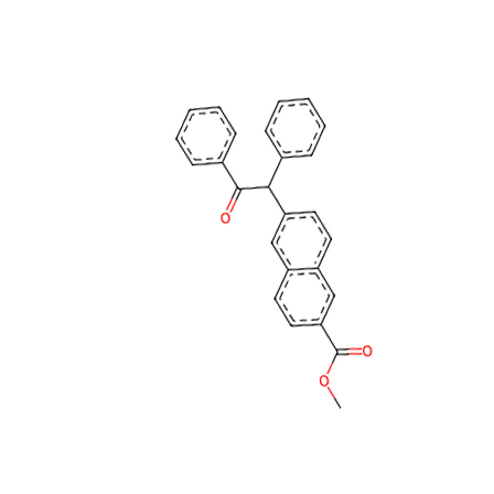 COC(=O)c1ccc2cc(C(C(=O)c3ccccc3)c3ccccc3)ccc2c1